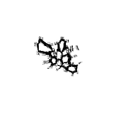 CC1(C)c2ccccc2-c2cc3[nH]c4cccc5c4c3c(c21)c1cccc2c3ccccc3n5c21